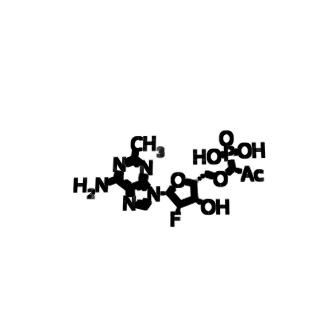 CC(=O)[C@@H](OC[C@H]1O[C@@H](n2cnc3c(N)nc(C)nc32)[C@@H](F)[C@@H]1O)P(=O)(O)O